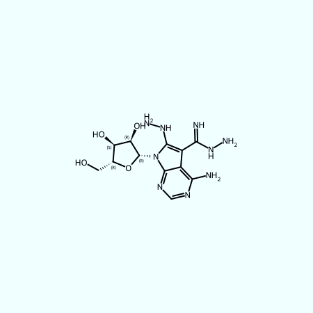 N=C(NN)c1c(NN)n([C@@H]2O[C@H](CO)[C@@H](O)[C@H]2O)c2ncnc(N)c12